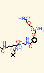 CNC(=O)COCCOC(N)COc1cccc(C(=O)NCCNC(=O)C(CCCCNC(C)=O)NC(=O)CC(C)(C)C)c1